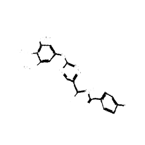 COc1cc(Nc2ncc(C(C)NC(=O)c3ccc(F)cc3)nn2)cc(OC)c1OC